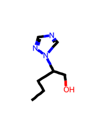 CCCC(CO)n1cncn1